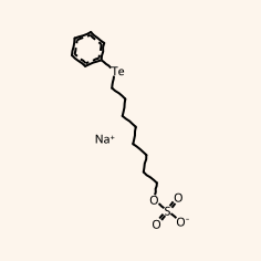 O=S(=O)([O-])OCCCCCCCC[Te]c1ccccc1.[Na+]